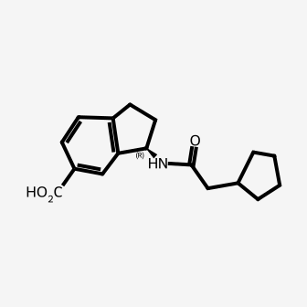 O=C(CC1CCCC1)N[C@@H]1CCc2ccc(C(=O)O)cc21